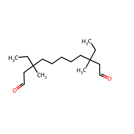 CCC(C)(CC=O)CCCCCC(C)(CC)CC=O